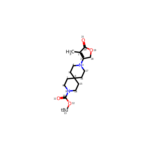 CC1=C(N2CCC3(CCN(C(=O)OC(C)(C)C)CC3)CC2)COC1=O